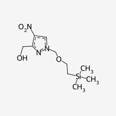 C[Si](C)(C)CCOCn1cc([N+](=O)[O-])c(CO)n1